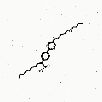 CCCCCCCC=C(C(=O)O)c1ccc(-c2ncc(OCCCCOCCCC)cn2)cc1